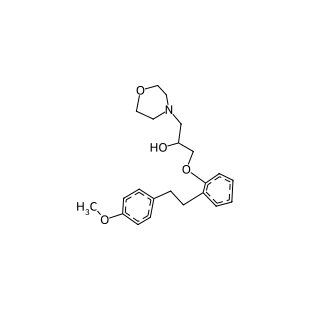 COc1ccc(CCc2ccccc2OCC(O)CN2CCOCC2)cc1